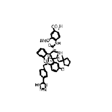 COc1cc(C(=O)O)ccc1NC(=O)[C@@H]1N[C@@H](CC2(C)CCCC2)[C@@]2(CN(Cc3ccc(-c4nnn[nH]4)cc3)c3ccc(Cl)cc32)[C@H]1c1ccccc1Cl